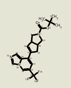 CC(C)(C)OC(=O)N1CC2C=C(c3cc(C(F)(F)F)cn4cncc34)CC2C1